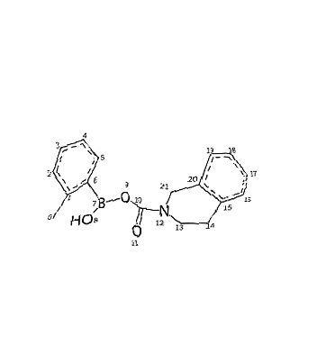 Cc1ccccc1B(O)OC(=O)N1CCc2ccccc2C1